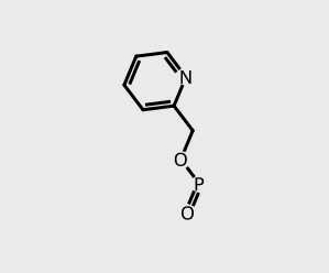 O=POCc1ccccn1